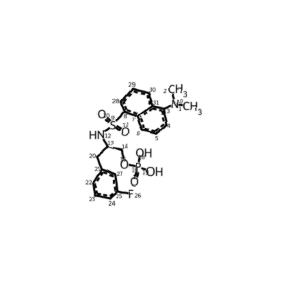 CN(C)c1cccc2c(S(=O)(=O)N[C@@H](COP(=O)(O)O)Cc3cccc(F)c3)cccc12